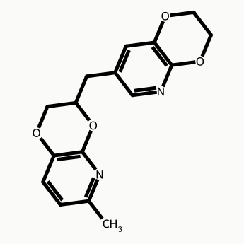 Cc1ccc2c(n1)OC(Cc1cnc3c(c1)OCCO3)CO2